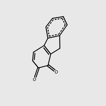 O=C1C=CC2=C(Cc3ccccc32)C1=O